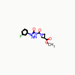 COC(=O)C1CN(C(=O)n2nnn(-c3cccc(F)c3)c2=O)C1